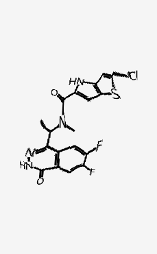 CC(c1n[nH]c(=O)c2cc(F)c(F)cc12)N(C)C(=O)c1cc2sc(Cl)cc2[nH]1